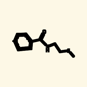 CSCCNC(=O)c1cc[c]cc1